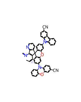 C=NC1=C(/C=C\C)C2(c3ccc(N4c5ccccc5Oc5cc(C#N)ccc54)cc3Oc3cc(-n4c5ccccc5c5cc(C#N)ccc54)ccc32)c2cccnc21